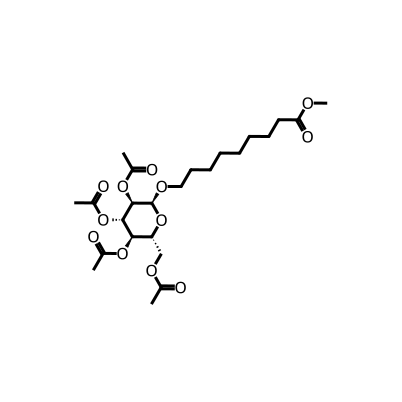 COC(=O)CCCCCCCCO[C@H]1O[C@H](COC(C)=O)[C@@H](OC(C)=O)[C@H](OC(C)=O)[C@H]1OC(C)=O